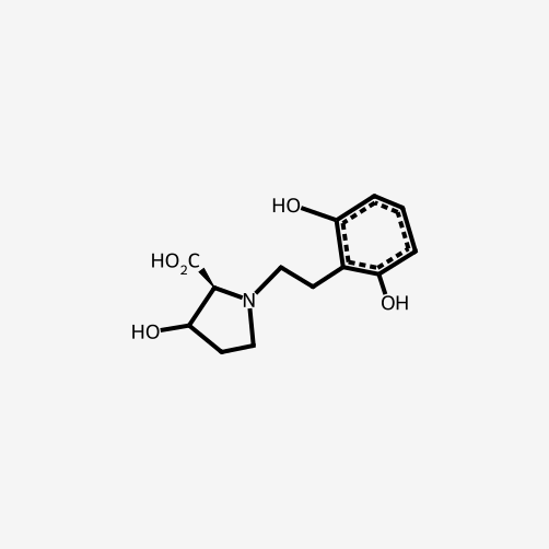 O=C(O)[C@@H]1C(O)CCN1CCc1c(O)cccc1O